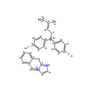 Brc1ccccc1Cc1ncc[nH]1.CC(Br)=CCB(c1ccc(F)cc1)c1ccc(F)cc1